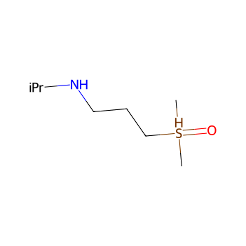 CC(C)NCCC[SH](C)(C)=O